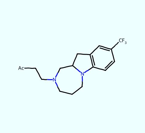 CC(=O)CCN1CCCN2c3ccc(C(F)(F)F)cc3CC2C1